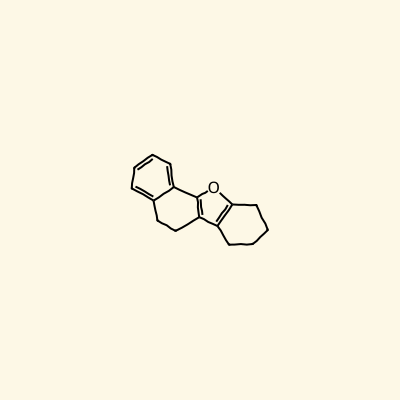 c1ccc2c(c1)CCc1c-2oc2c1CCCC2